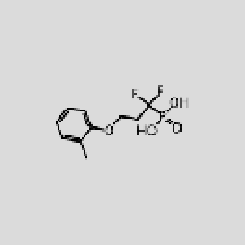 Cc1ccccc1OCCC(F)(F)P(=O)(O)O